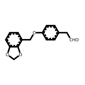 O=[C]Cc1ccc(OCc2cccc3c2OCO3)cc1